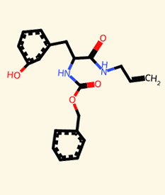 C=CCNC(=O)C(Cc1cccc(O)c1)NC(=O)OCc1ccccc1